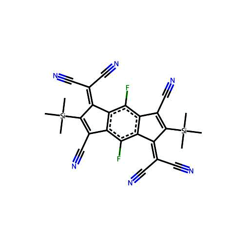 C[Si](C)(C)C1=C(C#N)c2c(F)c3c(c(F)c2C1=C(C#N)C#N)C(C#N)=C([Si](C)(C)C)C3=C(C#N)C#N